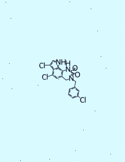 O=S1(=O)Nc2c(cc(Cl)c3c(Cl)c[nH]c23)CN1Cc1cccc(Cl)c1